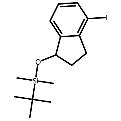 CC(C)(C)[Si](C)(C)OC1CCc2c(I)cccc21